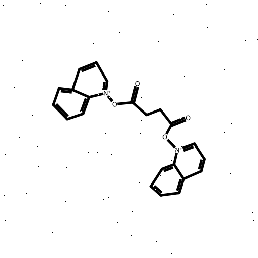 O=C(CCC(=O)O[n+]1cccc2ccccc21)O[n+]1cccc2ccccc21